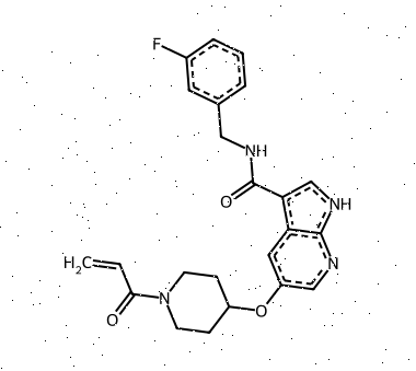 C=CC(=O)N1CCC(Oc2cnc3[nH]cc(C(=O)NCc4cccc(F)c4)c3c2)CC1